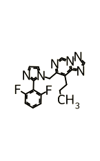 CCCc1c(Cn2ccnc2-c2c(F)cccc2F)ncn2ncnc12